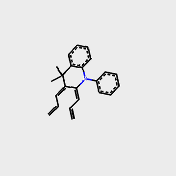 C=C/C=C1\C(=C/C=C)N(c2ccccc2)c2ccccc2C1(C)C